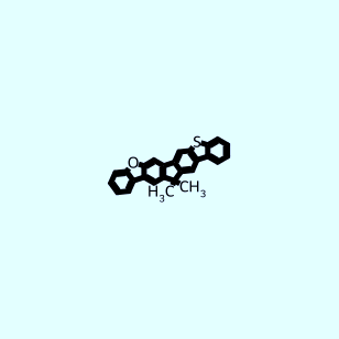 CC1(C)c2cc3c(cc2-c2cc4sc5ccccc5c4cc21)oc1ccccc13